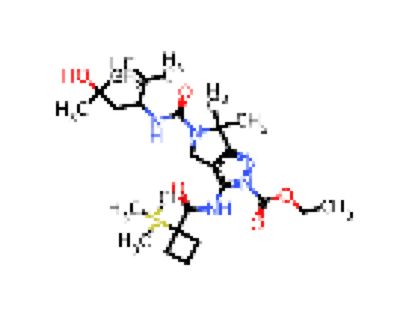 CCOC(=O)n1nc2c(c1NC(=O)C1(S(C)(C)C)CCC1)CN(C(=O)NC(CC(C)(C)O)C(C)C)C2(C)C